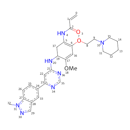 C=CC(=O)NC1=C(OCCN2CCCCC2)C=C(OC)C(Nc2cc(-c3ccc4c(cnn4C)c3)ncn2)C1